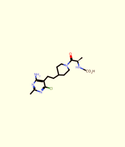 Cc1nc(N)c(CCC2CCN(C(=O)[C@@H](C)NC(=O)O)CC2)c(Cl)n1